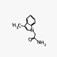 Cc1cn(CC(N)=O)c2ccccc12